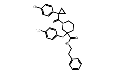 O=C(NCCc1ccccc1)C1(Oc2ccc(C(F)(F)F)cc2)CCCN(C(=O)C2(c3ccc(Cl)cc3)CC2)C1